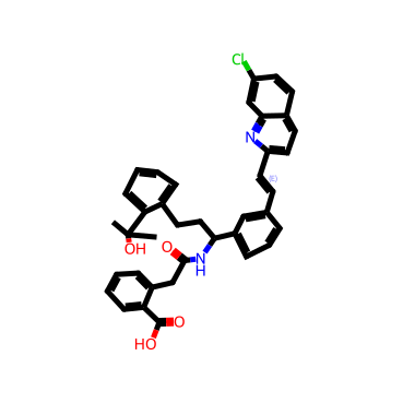 CC(C)(O)c1ccccc1CCC(NC(=O)Cc1ccccc1C(=O)O)c1cccc(/C=C/c2ccc3ccc(Cl)cc3n2)c1